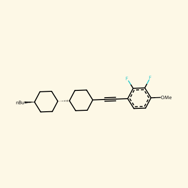 CCCC[C@H]1CC[C@H](C2CCC(C#Cc3ccc(OC)c(F)c3F)CC2)CC1